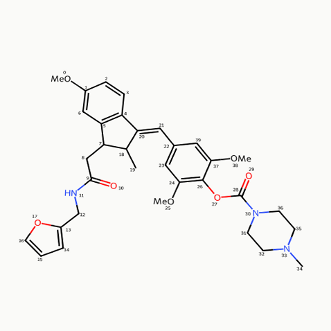 COc1ccc2c(c1)C(CC(=O)NCc1ccco1)C(C)C2=Cc1cc(OC)c(OC(=O)N2CCN(C)CC2)c(OC)c1